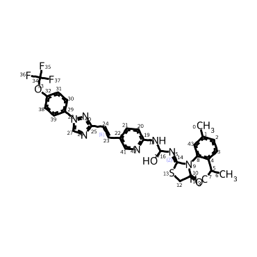 Cc1ccc(C(C)C)c(N2C(=O)CS/C2=N\C(O)Nc2ccc(/C=C/c3ncn(-c4ccc(OC(F)(F)F)cc4)n3)cn2)c1